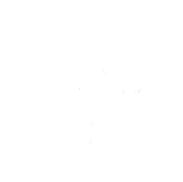 c1ccc(-c2c(S(c3ccccc3)(c3ccccc3)c3ccccc3)oc(S(c3ccccc3)(c3ccccc3)c3ccccc3)c2-c2ccccc2)cc1